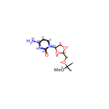 COC(C)(C)OCC1OCC(n2ccc(N)nc2=O)O1